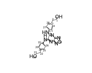 OCCc1ccc(Nc2nc3nonc3nc2Nc2ccc(CCO)cc2)cc1